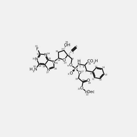 C#C[C@]1(COP(=O)(NC(Cc2ccccc2)C(=O)O)OCC(=O)OCCCCCCCCCC)O[C@@H](n2cnc3c(N)nc(F)nc32)C[C@@H]1O